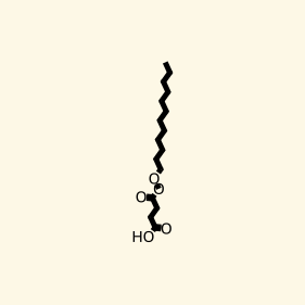 CCCCCCCCCCCCOOC(=O)CCC(=O)O